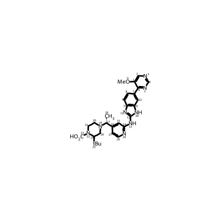 COc1cncnc1-c1ccc2nc(Nc3cc([C@@H](C)N4CCN(C(=O)O)C(C(C)(C)C)C4)ccn3)[nH]c2c1